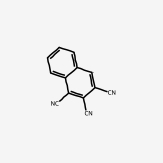 N#Cc1[c]c2ccccc2c(C#N)c1C#N